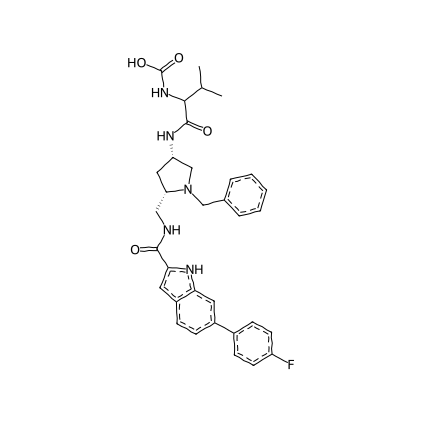 CC(C)C(NC(=O)O)C(=O)N[C@H]1C[C@@H](CNC(=O)c2cc3ccc(-c4ccc(F)cc4)cc3[nH]2)N(Cc2ccccc2)C1